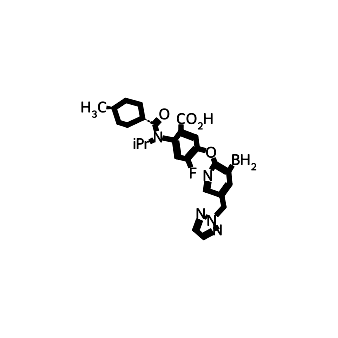 Bc1cc(Cn2nccn2)cnc1Oc1cc(C(=O)O)c(N(C(=O)[C@H]2CC[C@H](C)CC2)C(C)C)cc1F